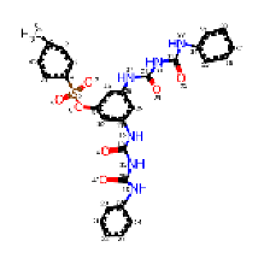 Cc1ccc(S(=O)(=O)Oc2cc(NC(=O)NC(=O)Nc3ccccc3)cc(NC(=O)NC(=O)Nc3ccccc3)c2)cc1